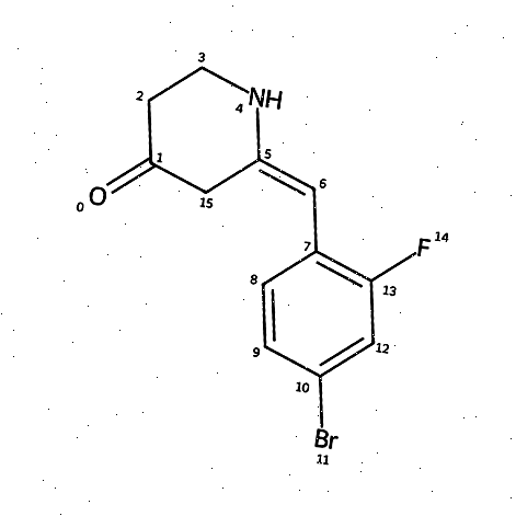 O=C1CCNC(=Cc2ccc(Br)cc2F)C1